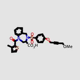 COCC#CCOc1ccc(S(=O)(=O)N2Cc3ccccc3N(C(=O)c3sccc3C)CC2C(=O)O)cc1